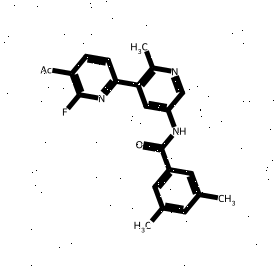 CC(=O)c1ccc(-c2cc(NC(=O)c3cc(C)cc(C)c3)cnc2C)nc1F